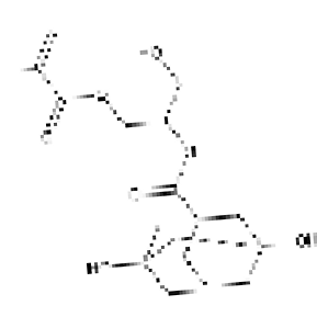 C=C(C)C(=O)OCC(CO)OC(=O)C12CC3CC(O)(CC(O)(C3)C1)C2